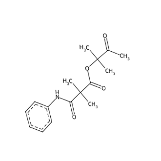 CC(=O)C(C)(C)OC(=O)C(C)(C)C(=O)Nc1ccccc1